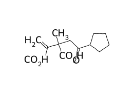 C=C(C(=O)O)C(C)(CC(=O)C1CCCC1)C(=O)O